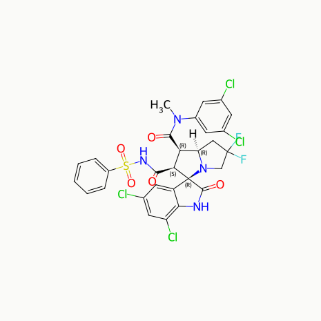 CN(C(=O)[C@H]1[C@H]2CC(F)(F)CN2[C@]2(C(=O)Nc3c(Cl)cc(Cl)cc32)[C@H]1C(=O)NS(=O)(=O)c1ccccc1)c1cc(Cl)cc(Cl)c1